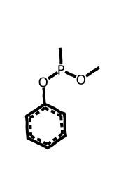 COP(C)Oc1ccccc1